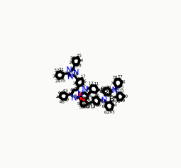 CC(C)(C)c1ccc2c(c1)c1cc(C(C)(C)C)ccc1n2-c1ccc(-c2nc(-c3ccccc3)nc(-c3ccccc3)n2)cc1-c1cc(-c2ccccc2)nc(-c2cccc(-c3ccc(N4c5ccccc5B5c6ccccc6N(c6ccccc6)c6cccc4c65)cc3)c2)n1